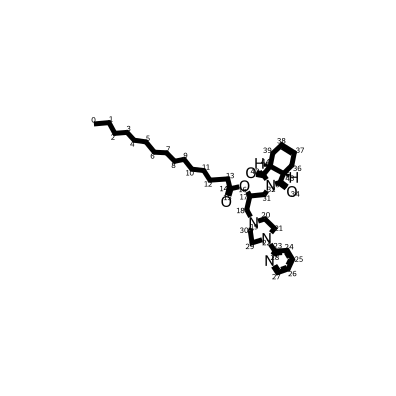 CCCCCCCCCCCCCCC(=O)OC(CN1CCN(c2ccccn2)CC1)CN1C(=O)[C@H]2CC=CC[C@H]2C1=O